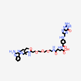 CCCCc1nc2c(N)nc3ccccc3c2n1CC(C)(C)CNC(=O)CCOCCOCCOCCNC(=O)CCC(NC(=O)c1ccc(NCc2cnc3nc(N)[nH]c(=O)c3n2)cc1)C(=O)O